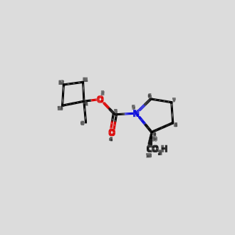 CC1(OC(=O)N2CCC[C@H]2C(=O)O)CCC1